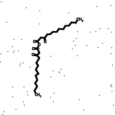 CCCCCCCCCCCC(=O)CC(=O)OC(=O)CC(=O)CCCCCCCCCCC